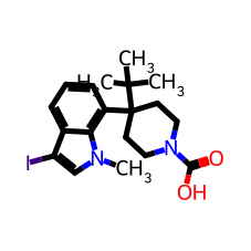 Cn1cc(I)c2cccc(C3(C(C)(C)C)CCN(C(=O)O)CC3)c21